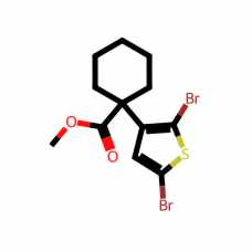 COC(=O)C1(c2cc(Br)sc2Br)CCCCC1